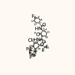 COc1c(NC(=O)c2ccc(F)cc2)cccc1C(=O)Nc1c(Cl)cc(C(F)(C(F)(F)F)C(F)(F)F)cc1OC(F)F